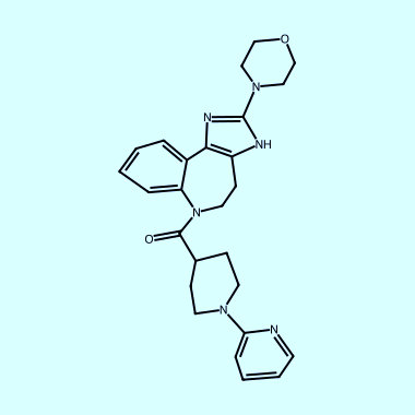 O=C(C1CCN(c2ccccn2)CC1)N1CCc2[nH]c(N3CCOCC3)nc2-c2ccccc21